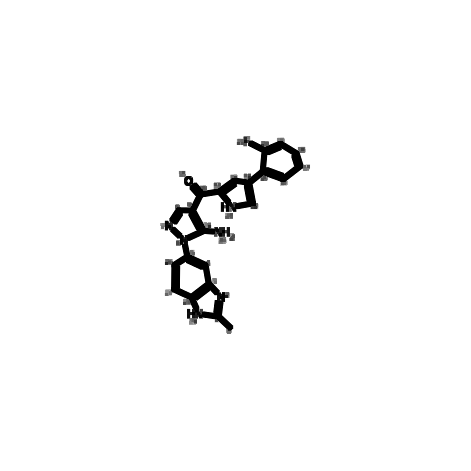 Cc1nc2cc(-n3ncc(C(=O)c4cc(-c5ccccc5F)c[nH]4)c3N)ccc2[nH]1